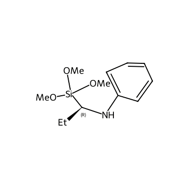 CC[C@H](Nc1ccccc1)[Si](OC)(OC)OC